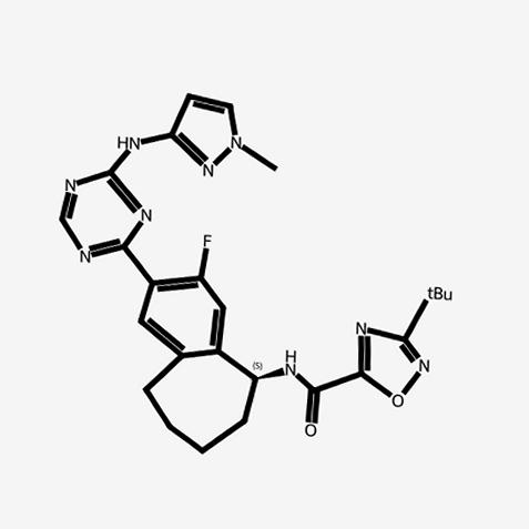 Cn1ccc(Nc2ncnc(-c3cc4c(cc3F)[C@@H](NC(=O)c3nc(C(C)(C)C)no3)CCCC4)n2)n1